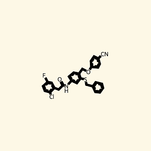 N#Cc1ccc(OCc2ccc(NC(=O)Cc3cc(F)ccc3Cl)cc2SCc2ccccc2)cc1